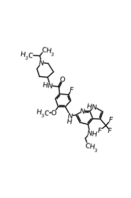 CCNc1cc(Nc2cc(F)c(C(=O)NC3CCN(C(C)C)CC3)cc2OC)nc2[nH]cc(C(F)(F)F)c12